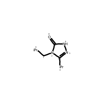 CC(C)Cn1c(C(C)C)n[nH]c1=O